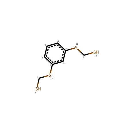 SCSc1cccc(SCS)c1